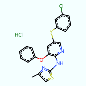 Cc1csc(Nc2ncc(Sc3cccc(Cl)c3)cc2Oc2ccccc2)n1.Cl